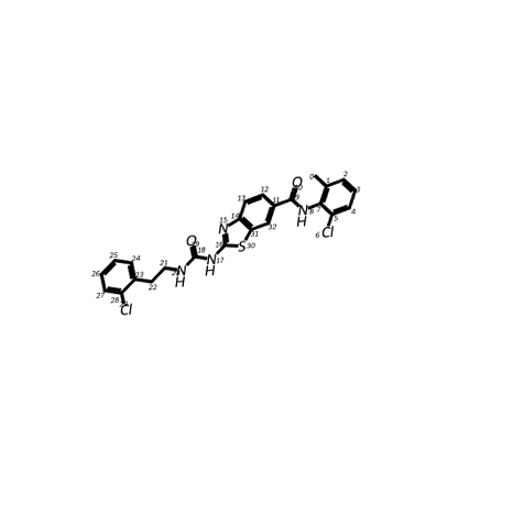 Cc1cccc(Cl)c1NC(=O)c1ccc2nc(NC(=O)NCCc3ccccc3Cl)sc2c1